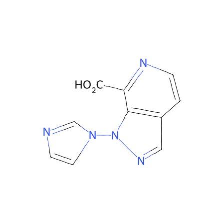 O=C(O)c1nccc2cnn(-n3ccnc3)c12